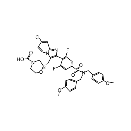 COc1ccc(CN(Cc2ccc(OC)cc2)S(=O)(=O)c2cc(F)c(-c3nc4cc(Cl)ccn4c3C[C@H]3CN(C(=O)O)CCO3)c(F)c2)cc1